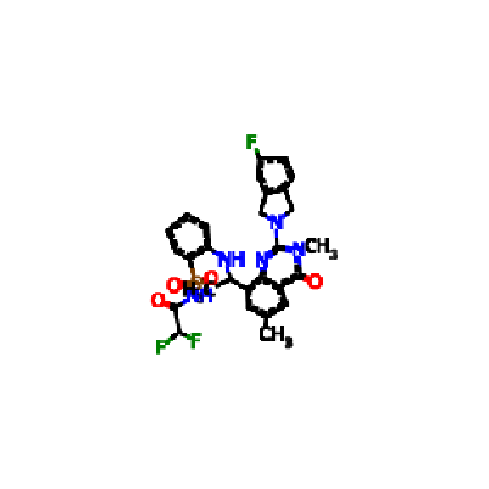 Cc1cc(C(C)Nc2ccccc2S(=O)(=O)NC(=O)C(F)F)c2nc(N3Cc4ccc(F)cc4C3)n(C)c(=O)c2c1